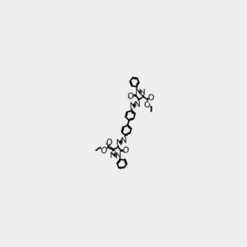 CCOC(=O)C1=NN(c2ccccc2)C(=O)C1N=Nc1ccc(-c2ccc(N=NC3C(=O)N(c4ccccc4)N=C3C(=O)OCC)cc2)cc1